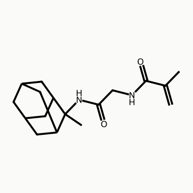 C=C(C)C(=O)NCC(=O)NC1(C)C2CC3CC(C2)CC1C3